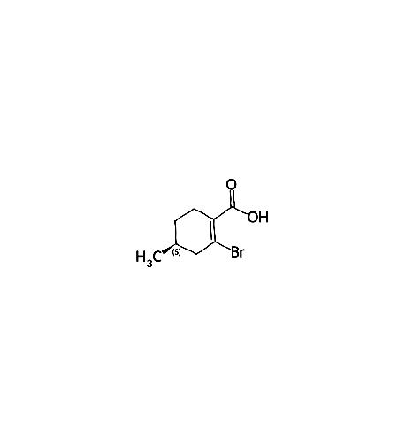 C[C@H]1CCC(C(=O)O)=C(Br)C1